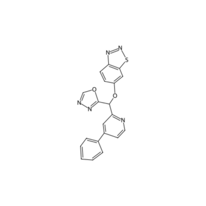 c1ccc(-c2ccnc(C(Oc3ccc4nnsc4c3)c3nnco3)c2)cc1